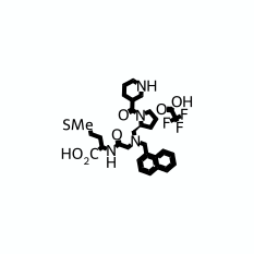 CSCCC(NC(=O)CN(Cc1cccc2ccccc12)C[C@@H]1CCCN1C(=O)C1CCCNC1)C(=O)O.O=C(O)C(F)(F)F